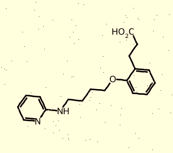 O=C(O)CCc1ccccc1OCCCCNc1ccccn1